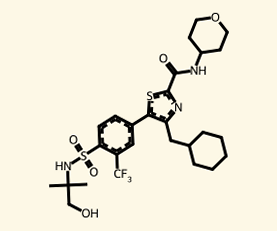 CC(C)(CO)NS(=O)(=O)c1ccc(-c2sc(C(=O)NC3CCOCC3)nc2CC2CCCCC2)cc1C(F)(F)F